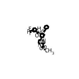 CCOC(=O)c1cnn2c(-c3ccc(OCc4ccccc4)c(NC(=O)c4cccc(C(F)(F)F)c4)c3)ccnc12